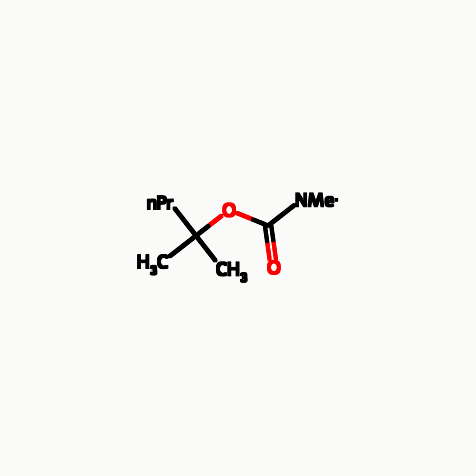 CCCC(C)(C)OC(=O)[N]C